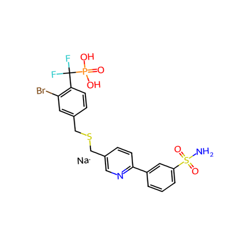 NS(=O)(=O)c1cccc(-c2ccc(CSCc3ccc(C(F)(F)P(=O)(O)O)c(Br)c3)cn2)c1.[Na]